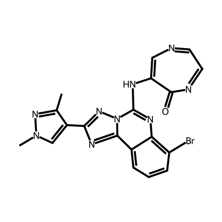 Cc1nn(C)cc1-c1nc2c3cccc(Br)c3nc(Nc3cnccnc3=O)n2n1